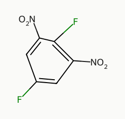 O=[N+]([O-])c1cc(F)cc([N+](=O)[O-])c1F